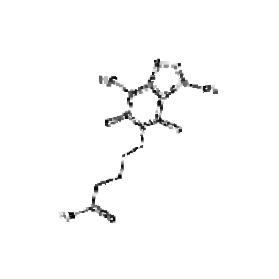 Cn1cnc2c1c(=O)n(CCCCC(N)=O)c(=O)n2C